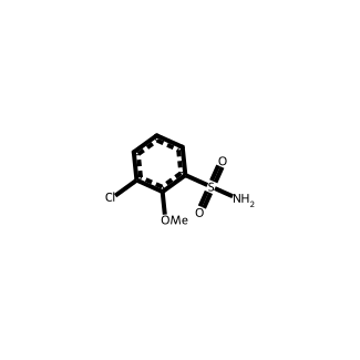 COc1c(Cl)cccc1S(N)(=O)=O